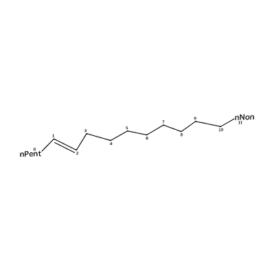 CCCCCC=CCCCCCCCCCCCCCCCCC